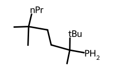 CCCC(C)(C)CCC(C)(P)C(C)(C)C